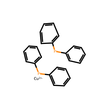 [Cu+2].c1ccc([P-]c2ccccc2)cc1.c1ccc([P-]c2ccccc2)cc1